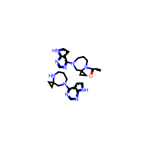 C=CC(=O)N1CCCN(c2ncnc3[nH]ccc23)CC12CC2.c1nc(N2CCCNC3(CC3)C2)c2cc[nH]c2n1